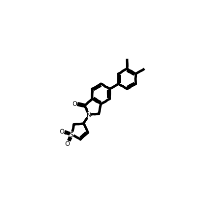 Cc1ccc(-c2ccc3c(c2)CN(C2C=CS(=O)(=O)C2)C3=O)cc1C